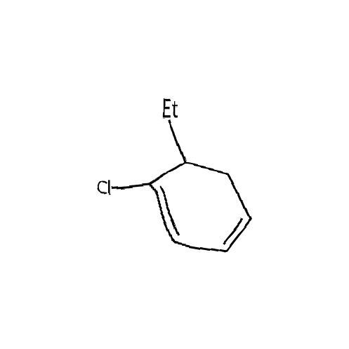 CCC1CC=CC=C1Cl